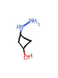 NNC1CC(O)C1